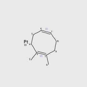 C/C1=C(\C)CC/C=C\CC1.[Pt]